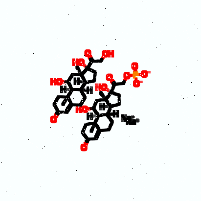 C[C@]12CCC(=O)C=C1CC[C@@H]1[C@@H]2[C@@H](O)C[C@@]2(C)[C@H]1CC[C@]2(O)C(=O)CO.C[C@]12CCC(=O)C=C1CC[C@@H]1[C@@H]2[C@@H](O)C[C@@]2(C)[C@H]1CC[C@]2(O)C(=O)COP(=O)([O-])[O-].[Na+].[Na+]